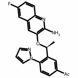 CC(=O)c1ccc(-n2cccn2)c([C@H](C)Oc2cc3cc(F)ccc3nc2N)c1